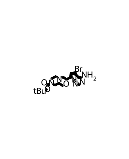 CC(C)(C)OC(=O)N1CCN2CC(c3cc(Br)c4c(N)ncnn34)OCC2C1